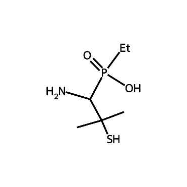 CCP(=O)(O)C(N)C(C)(C)S